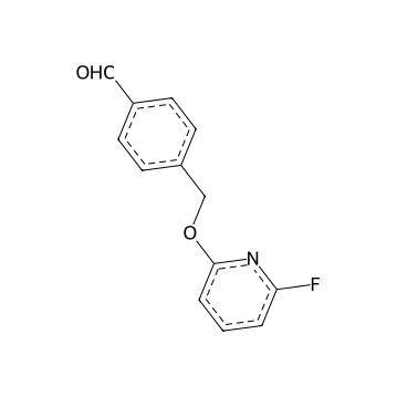 O=Cc1ccc(COc2cccc(F)n2)cc1